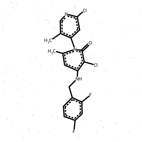 Cc1cnc(Cl)cc1-n1c(C)cc(NCc2ccc(F)cc2F)c(Cl)c1=O